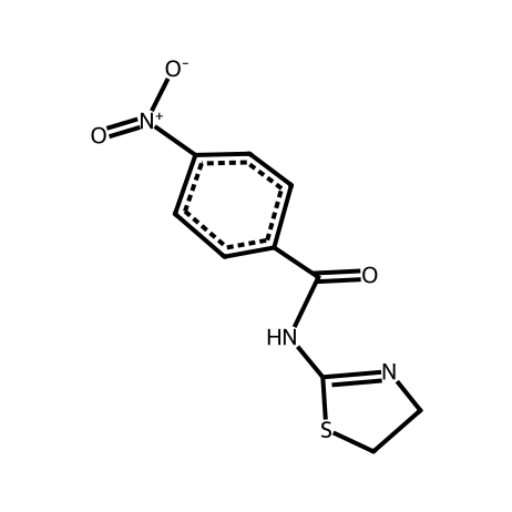 O=C(NC1=NCCS1)c1ccc([N+](=O)[O-])cc1